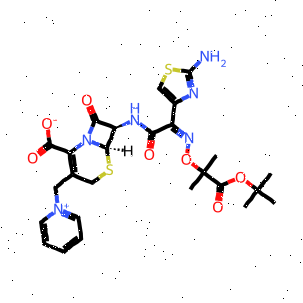 CC(C)(C)OC(=O)C(C)(C)O/N=C(\C(=O)N[C@@H]1C(=O)N2C(C(=O)[O-])=C(C[n+]3ccccc3)CS[C@H]12)c1csc(N)n1